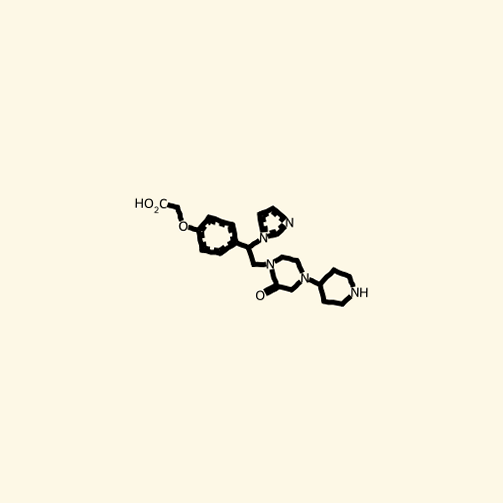 O=C(O)COc1ccc(C(CN2CCN(C3CCNCC3)CC2=O)n2ccnc2)cc1